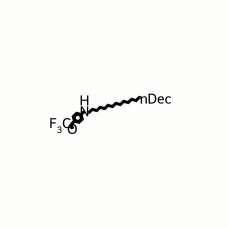 CCCCCCCCCCCCCCCCCCCCCCCCNc1ccc(C(=O)C(F)(F)F)cc1